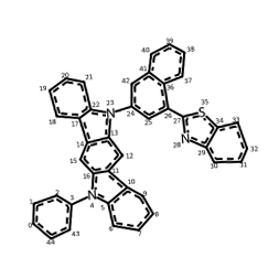 c1ccc(-n2c3ccccc3c3cc4c(cc32)c2ccccc2n4-c2cc(-c3nc4ccccc4s3)c3ccccc3c2)cc1